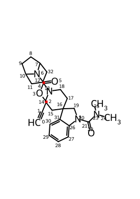 C#CCOC(=O)N1C2CCC1CC(N1CCC3(CC1)CN(C(=O)N(C)C)c1ccccc13)C2